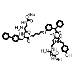 CCNC(=O)/N=C(/N)NCCC[C@@H](NC(=O)C(c1ccccc1)c1cccc(OCCCCNC(=O)[C@@H](Cc2ccc(-c3ccccc3)cc2)NC(=O)[C@H](N)CNC(=O)OC(C)(C)C)c1)C(=O)NCc1ccc(O)cc1